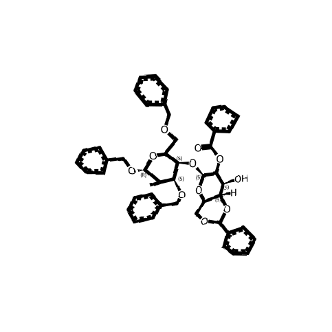 CC1[C@H](OCc2ccccc2)OC(COCc2ccccc2)[C@@H](O[C@@H]2OC3COC(c4ccccc4)O[C@H]3[C@H](O)C2OC(=O)c2ccccc2)[C@H]1OCc1ccccc1